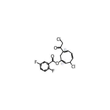 O=C(CCl)/C1=C/C=CC(Cl)/C=C(/OC(=O)c2cc(F)ccc2F)C1